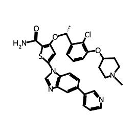 C[C@@H](Oc1cc(-n2cnc3cc(-c4cccnc4)ccc32)sc1C(N)=O)c1cccc(OC2CCN(C)CC2)c1Cl